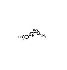 NC1CC2CNC(c3ccc(-c4ccc5n[nH]cc5c4)nn3)C2C1